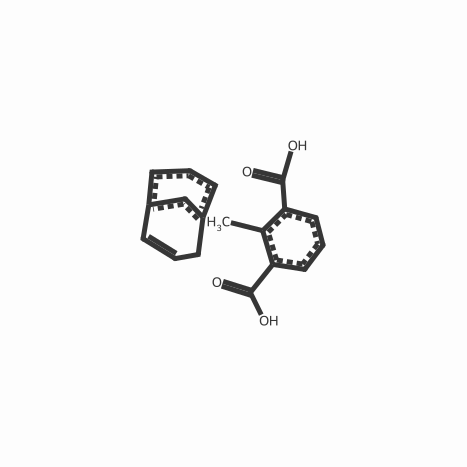 C1=Cc2cccc(c2)C1.Cc1c(C(=O)O)cccc1C(=O)O